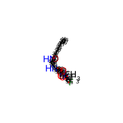 C[C@H](N(Cc1ccc(F)cc1)C(=O)CN1C(=O)O[C@@]2(CCc3cc(NCCc4ccc(NC(=O)CCCCCCCCCCCc5ccccc5)cc4)ccc32)C1=O)C(F)(F)F